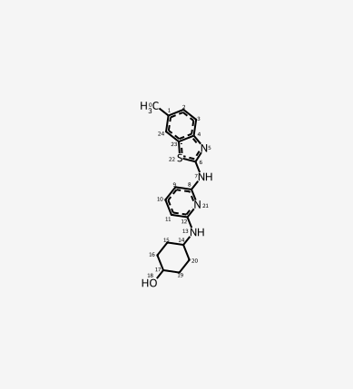 Cc1ccc2nc(Nc3cccc(NC4CCC(O)CC4)n3)sc2c1